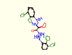 O=C(NNc1cccc(Cl)c1Cl)C(=O)NNc1cccc(Cl)c1Cl